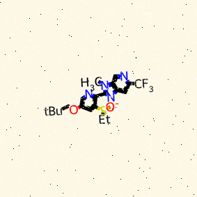 CC[S+]([O-])c1cc(OCC(C)(C)C)cnc1-c1nc2cc(C(F)(F)F)ncc2n1C